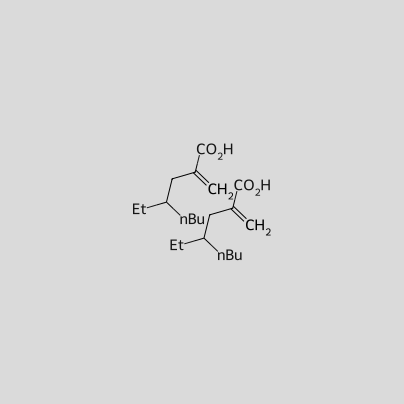 C=C(CC(CC)CCCC)C(=O)O.C=C(CC(CC)CCCC)C(=O)O